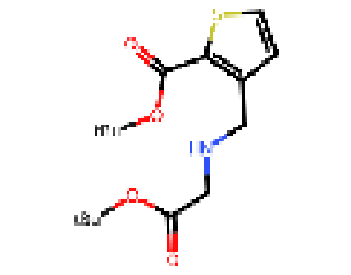 CC(C)(C)OC(=O)CNCc1ccsc1C(=O)OC(C)(C)C